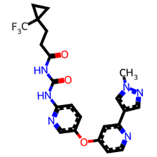 Cn1cc(-c2cc(Oc3ccc(NC(=O)NC(=O)CCC4(C(F)(F)F)CC4)nc3)ccn2)cn1